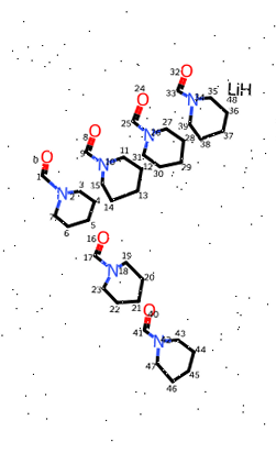 O=CN1CCCCC1.O=CN1CCCCC1.O=CN1CCCCC1.O=CN1CCCCC1.O=CN1CCCCC1.O=CN1CCCCC1.[LiH]